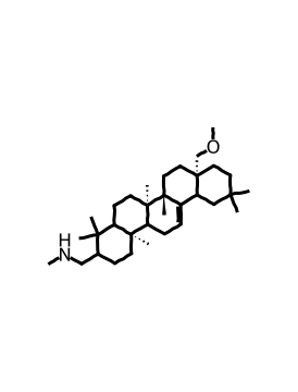 CNCC1CC[C@@]2(C)C(CC[C@]3(C)C2CC=C2C4CC(C)(C)CC[C@]4(COC)CC[C@]23C)C1(C)C